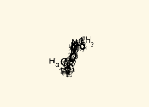 COc1ccccc1-c1cnn2ccc(N3CC[C@H](N(C)C(=O)CC(F)(F)F)C3)nc12